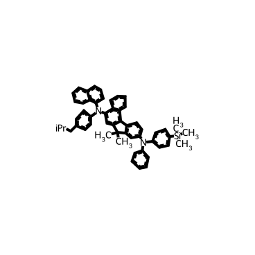 CC(C)Cc1ccc(N(c2cccc3ccccc23)c2cc3c(c4ccccc24)-c2ccc(N(c4ccccc4)c4ccc([Si](C)(C)C)cc4)cc2C3(C)C)cc1